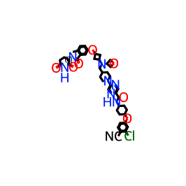 N#Cc1ccc(OC2CCC(NC(=O)c3cnc(N4CCC(CN(C5COC5)C5CC(Oc6ccc7c(c6)C(=O)N([C@@H]6CCC(=O)NC6=O)C7)C5)CC4)cn3)CC2)cc1Cl